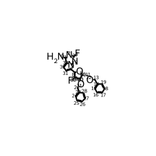 Nc1nc(F)nn2c(C3O[C@H](COCc4ccccc4)[C@@H](OCc4ccccc4)[C@H]3F)ccc12